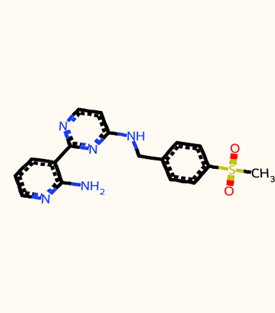 CS(=O)(=O)c1ccc(CNc2ccnc(-c3cccnc3N)n2)cc1